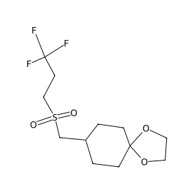 O=S(=O)(CCC(F)(F)F)CC1CCC2(CC1)OCCO2